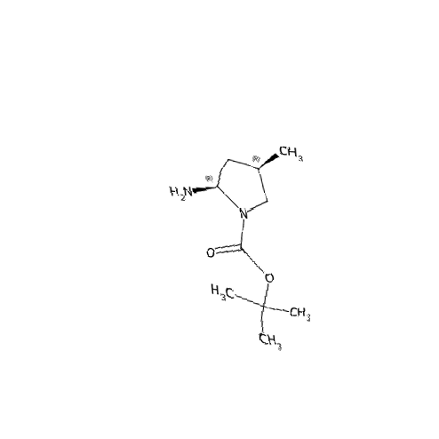 C[C@@H]1C[C@H](N)N(C(=O)OC(C)(C)C)C1